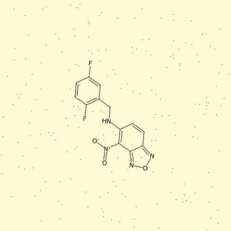 O=[N+]([O-])c1c(NCc2cc(F)ccc2F)ccc2nonc12